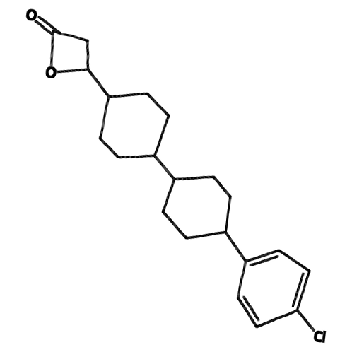 O=C1CC(C2CCC(C3CCC(c4ccc(Cl)cc4)CC3)CC2)O1